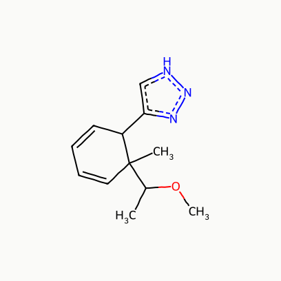 COC(C)C1(C)C=CC=CC1c1c[nH]nn1